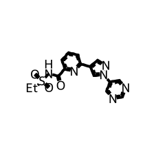 CCS(=O)(=O)NC(=O)c1cccc(-c2cnn(-c3cncnc3)c2)n1